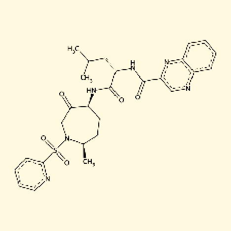 CC(C)C[C@H](NC(=O)c1cnc2ccccc2n1)C(=O)N[C@H]1CC[C@@H](C)N(S(=O)(=O)c2ccccn2)CC1=O